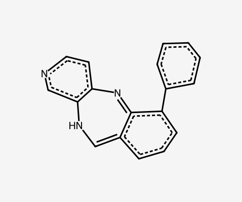 C1=c2cccc(-c3ccccc3)c2=Nc2ccncc2N1